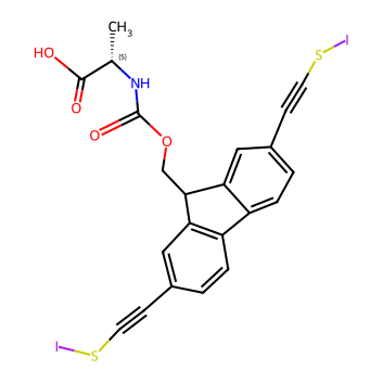 C[C@H](NC(=O)OCC1c2cc(C#CSI)ccc2-c2ccc(C#CSI)cc21)C(=O)O